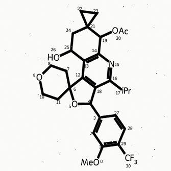 COc1cc(C2OC3(CCOCC3)c3c4c(nc(C(C)C)c32)C(OC(C)=O)C2(CC2)CC4O)ccc1C(F)(F)F